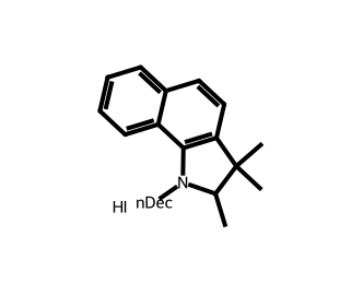 CCCCCCCCCCN1c2c(ccc3ccccc23)C(C)(C)C1C.I